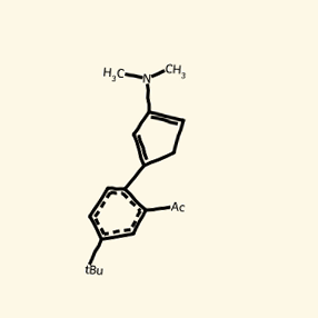 CC(=O)c1cc(C(C)(C)C)ccc1C1=CC(N(C)C)=CC1